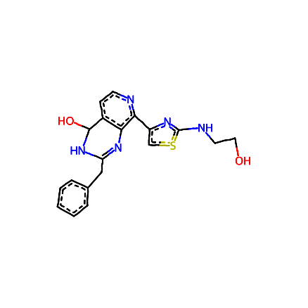 OCCNc1nc(-c2nccc3c2N=C(Cc2ccccc2)NC3O)cs1